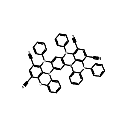 N#Cc1cc(C#N)c2c3c1Oc1ccccc1B3c1cc3c(cc1N2c1ccccc1)N(c1ccccc1)c1c(C#N)cc(C#N)c2c1B3c1ccccc1N2c1ccccc1